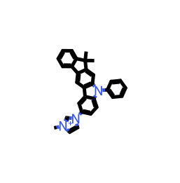 C[n+]1ccn(-c2ccc3c(c2)c2cc4c(cc2n3-c2ccccc2)C(C)(C)c2ccccc2-4)c1